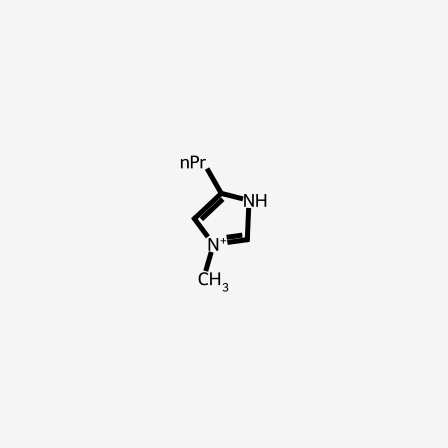 CCCc1c[n+](C)c[nH]1